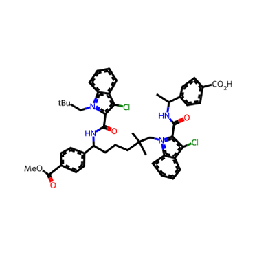 COC(=O)c1ccc(C(CCCC(C)(C)Cn2c(C(=O)NC(C)c3ccc(C(=O)O)cc3)c(Cl)c3ccccc32)NC(=O)c2c(Cl)c3ccccc3n2CC(C)(C)C)cc1